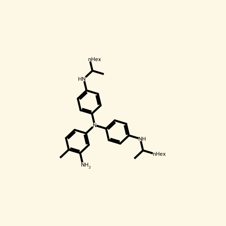 CCCCCCC(C)Nc1ccc(N(c2ccc(NC(C)CCCCCC)cc2)c2ccc(C)c(N)c2)cc1